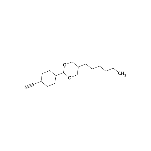 CCCCCCC1COC(C2CCC(C#N)CC2)OC1